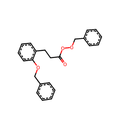 O=C(CCc1ccccc1OCc1ccccc1)OOCc1ccccc1